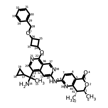 C[C@@H]1OC(=O)c2ccc(Nc3cc4c(C(C)(N)C5CC5)cnc(OC5CC(OCc6ccccc6)C5)c4cn3)nc2[C@H]1C